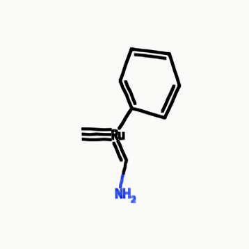 [CH]#[Ru](=[CH]\N)/[c]1ccccc1